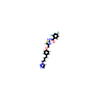 O=C(Nc1nc(COc2ccc(CCCCn3ccnn3)cc2)cs1)c1ccc(F)cc1F